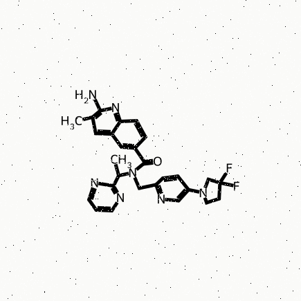 Cc1cc2cc(C(=O)N(Cc3ccc(N4CCC(F)(F)C4)cn3)C(C)c3ncccn3)ccc2nc1N